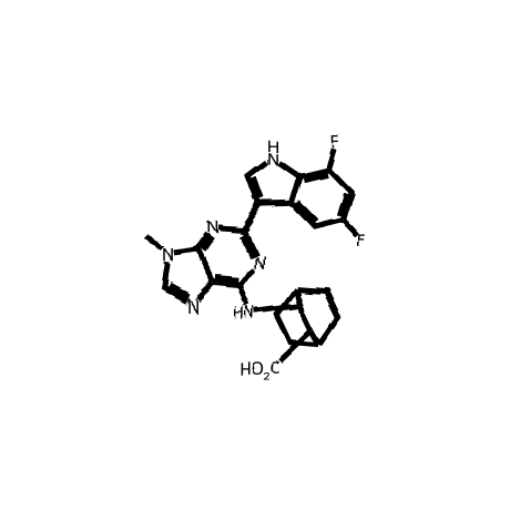 Cn1cnc2c(NC3C4CCC(CC4)C3C(=O)O)nc(-c3c[nH]c4c(F)cc(F)cc34)nc21